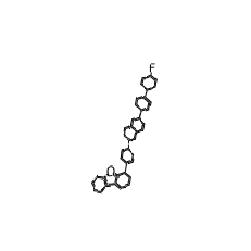 Fc1ccc(-c2ccc(-c3ccc4cc(-c5ccc(-c6cccc7c6oc6ccccc67)cc5)ccc4c3)cc2)cc1